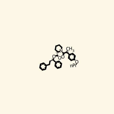 CCCOc1ccc([C@H](C)C(=O)N2CCCC[C@H]2C(=O)O[C@H](CCc2ccccc2)c2ccccc2)cc1